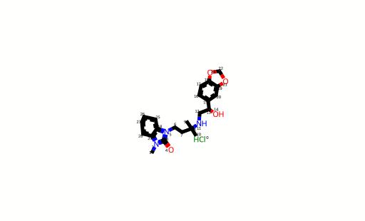 Cl.Cn1c(=O)n(CCC(C)(C)NCC(O)c2ccc3c(c2)OCO3)c2ccccc21